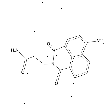 NC(=O)CCN1C(=O)c2cccc3c(N)ccc(c23)C1=O